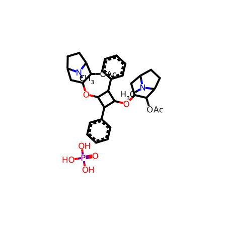 CC(=O)OC1C(OC2C(c3ccccc3)C(OC3CC4CCC(C3OC(C)=O)N4C)C2c2ccccc2)CC2CCC1N2C.O=P(O)(O)O